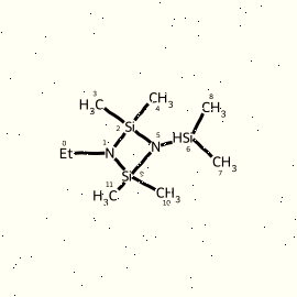 CCN1[Si](C)(C)N([SiH](C)C)[Si]1(C)C